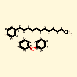 CCCCCCCCCCCCc1ccccc1.c1ccc(Oc2ccccc2)cc1